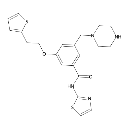 O=C(Nc1nccs1)c1cc(CN2CCNCC2)cc(OCCc2cccs2)c1